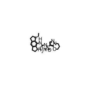 CC[C@@H]1CCc2cc3c(c(NC(=O)N=S(N)(=O)c4cnn5c4OCCC5)c21)CCC3